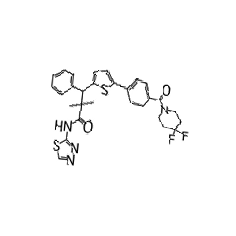 CC(C)(C(=O)Nc1nncs1)C(c1ccccc1)c1ccc(-c2ccc(C(=O)N3CCC(F)(F)CC3)cc2)s1